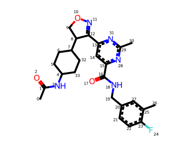 CC(=O)NC1CCC(C2CON=C2c2cc(C(=O)NCc3ccc(F)c(C)c3)nc(C)n2)CC1